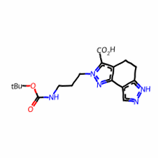 CC(C)(C)OC(=O)NCCCn1nc2c(c1C(=O)O)CCc1[nH]ncc1-2